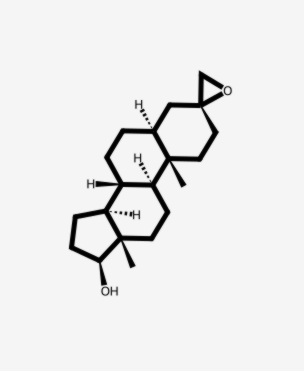 C[C@]12CC[C@]3(CO3)C[C@@H]1CC[C@@H]1[C@@H]2CC[C@]2(C)[C@@H](O)CC[C@@H]12